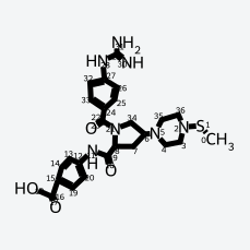 CSN1CCN(C2CC(C(=O)Nc3ccc(C(=O)O)cc3)N(C(=O)c3ccc(NC(=N)N)cc3)C2)CC1